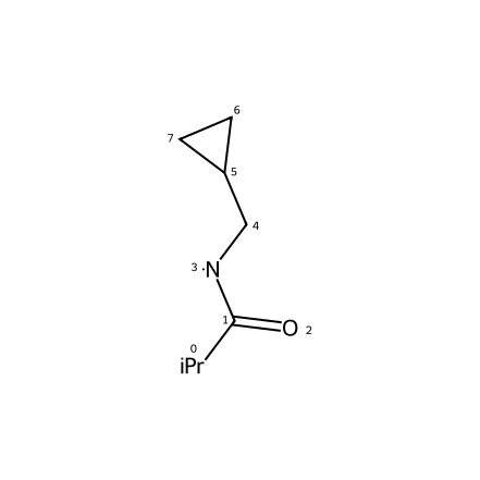 CC(C)C(=O)[N]CC1CC1